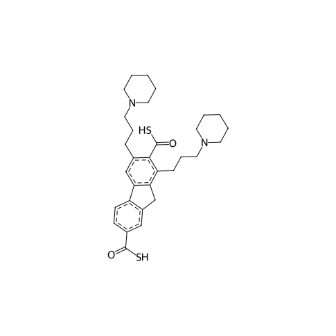 O=C(S)c1ccc2c(c1)Cc1c-2cc(CCCN2CCCCC2)c(C(=O)S)c1CCCN1CCCCC1